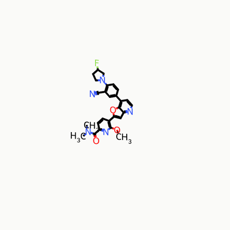 COc1nc(C(=O)N(C)C)ccc1-c1cc2nccc(-c3ccc(N4CCC(F)C4)c(C#N)c3)c2o1